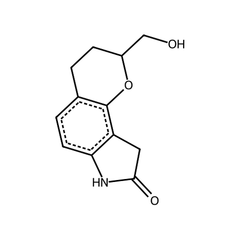 O=C1Cc2c(ccc3c2OC(CO)CC3)N1